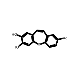 CC(=O)c1ccc2c(c1)C=Cc1cc(O)c(O)cc1S2